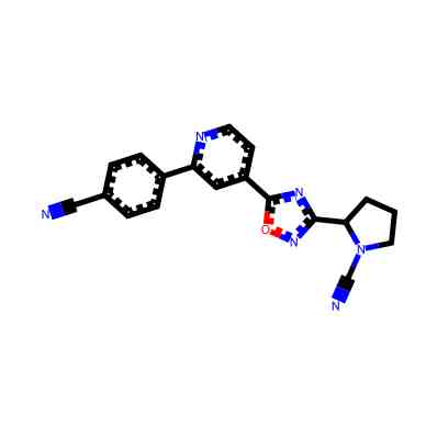 N#Cc1ccc(-c2cc(-c3nc(C4CCCN4C#N)no3)ccn2)cc1